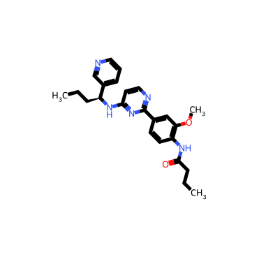 CCCC(=O)Nc1ccc(-c2nccc(N[C@@H](CCC)c3cccnc3)n2)cc1OC